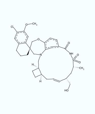 COc1cc2c(cc1Cl)CCC[C@]21COc2ccc3cc2N(C[C@@H]2CC[C@@H]2C/C=C/[C@@H](CO)C[C@@H](C)S(=O)(=O)NC3=O)C1